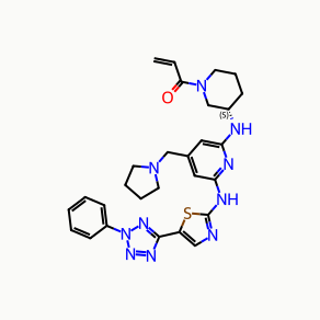 C=CC(=O)N1CCC[C@H](Nc2cc(CN3CCCC3)cc(Nc3ncc(-c4nnn(-c5ccccc5)n4)s3)n2)C1